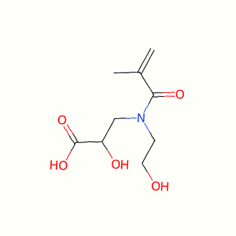 C=C(C)C(=O)N(CCO)CC(O)C(=O)O